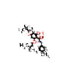 CC(C)=CCOc1cc(OC=C(C)C)cc(O)c1C(=O)/C=C/c1ccc(C)cc1